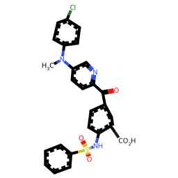 CN(c1ccc(Cl)cc1)c1ccc(C(=O)c2ccc(NS(=O)(=O)c3ccccc3)c(C(=O)O)c2)nc1